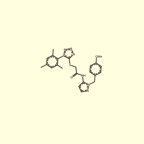 COc1ccc(Cn2nccc2NC(=O)CSc2nnnn2-c2c(C)cc(C)cc2C)cc1